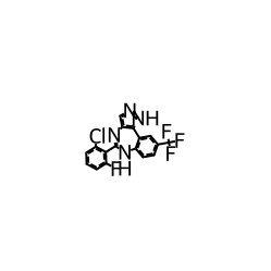 Fc1cccc(Cl)c1C1=Nc2cn[nH]c2-c2cc(C(F)(F)F)ccc2N1